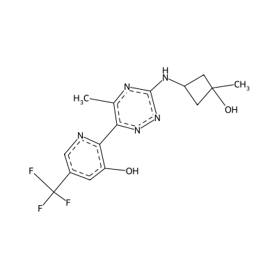 Cc1nc(NC2CC(C)(O)C2)nnc1-c1ncc(C(F)(F)F)cc1O